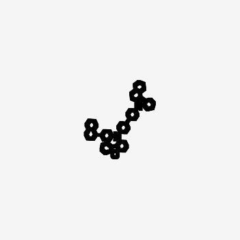 c1ccc2c(-c3ccc(N(c4ccc(-c5ccc(-n6c7ccccc7c7c8ccccc8ccc76)cc5)cc4)c4cccc5oc6ccccc6c45)cc3)cccc2c1